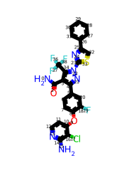 NC(=O)c1c(-c2ccc(Oc3ccnc(N)c3Cl)c(F)c2)nn(-c2nc(-c3ccccc3)cs2)c1C(F)(F)F